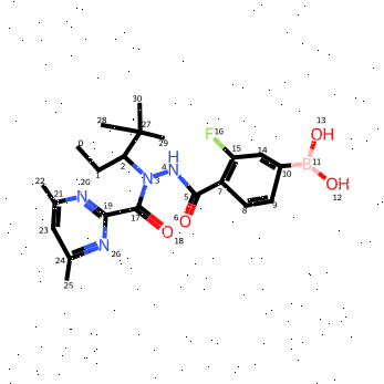 CCC(N(NC(=O)c1ccc(B(O)O)cc1F)C(=O)c1nc(C)cc(C)n1)C(C)(C)C